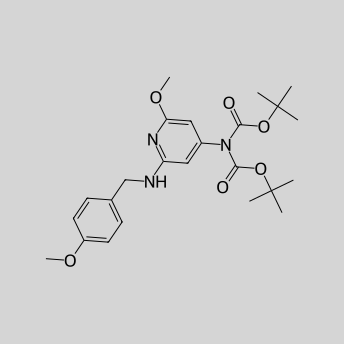 COc1ccc(CNc2cc(N(C(=O)OC(C)(C)C)C(=O)OC(C)(C)C)cc(OC)n2)cc1